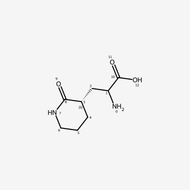 NC(C[C@@H]1CCCNC1=O)C(=O)O